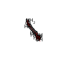 C=C/C=C/C=C(\C)[C@H](C[C@@H]1CC[C@@H](C)[C@](O)(C(=O)C(=O)N2CCCC[C@H]2C(=O)O[C@@H](C[C@@H](O)[C@H](C)/C=C(\C)[C@@H](O)[C@@H](O)/C(=N/OCC(=O)NCCOCCOCCOCCOCCOCCOCCC(=O)NCCS(=O)(=O)c2ccc(C(=O)N3CCOc4ccc(-c5ccc(N)nc5)cc4C3)c(C)c2F)[C@H](C)CC(C)C)[C@H](C)C[C@@H]2CC[C@@H](O)[C@H](OC)C2)O1)OC